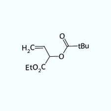 C=CC(OC(=O)C(C)(C)C)C(=O)OCC